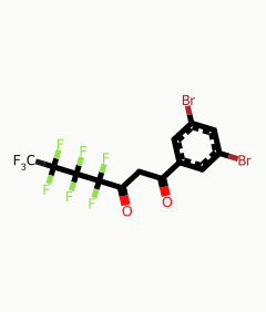 O=C(CC(=O)C(F)(F)C(F)(F)C(F)(F)C(F)(F)F)c1cc(Br)cc(Br)c1